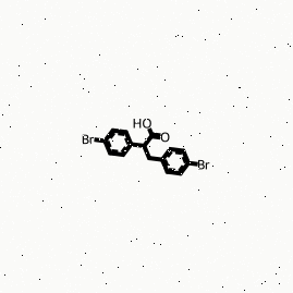 O=C(O)C(Cc1ccc(Br)cc1)c1ccc(Br)cc1